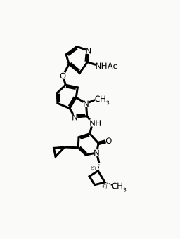 CC(=O)Nc1cc(Oc2ccc3nc(Nc4cc(C5CC5)cn(C[C@H]5CC[C@H]5C)c4=O)n(C)c3c2)ccn1